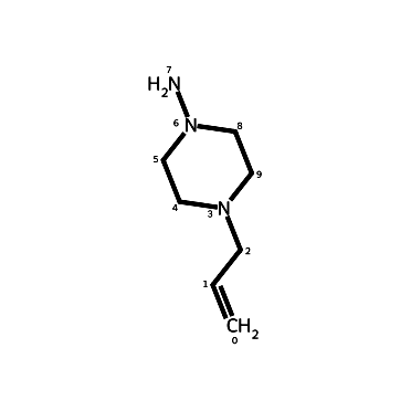 C=CCN1CCN(N)CC1